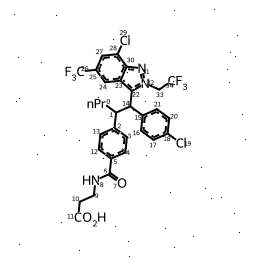 CCCC(c1ccc(C(=O)NCCC(=O)O)cc1)C(c1ccc(Cl)cc1)c1c2cc(C(F)(F)F)cc(Cl)c2nn1CC(F)(F)F